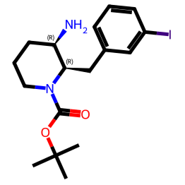 CC(C)(C)OC(=O)N1CCC[C@@H](N)[C@H]1Cc1cccc(I)c1